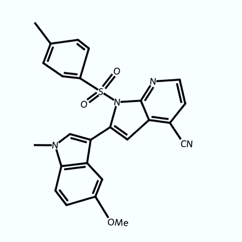 COc1ccc2c(c1)c(-c1cc3c(C#N)ccnc3n1S(=O)(=O)c1ccc(C)cc1)cn2C